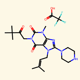 CC(C)=CCn1c(N2CCNCC2)nc2c1c(=O)n(CC(=O)C(C)(C)C)c(=O)n2C.O=C(O)C(F)(F)F